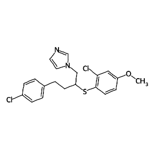 COc1ccc(SC(CCc2ccc(Cl)cc2)Cn2ccnc2)c(Cl)c1